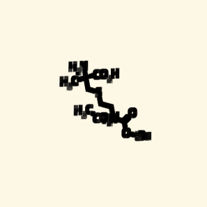 CC(=O)O.CC(C)(C)OC(=O)NCCSC[C@](C)(N)C(=O)O